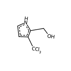 OCc1[nH]ccc1C(Cl)(Cl)Cl